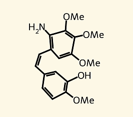 COc1ccc(/C=C\c2cc(OC)c(OC)c(OC)c2N)cc1O